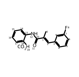 C/C(=C\c1cccc(F)c1)C(=O)Nc1ccccc1C(=O)O